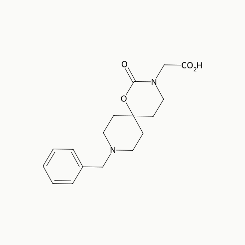 O=C(O)CN1CCC2(CCN(Cc3ccccc3)CC2)OC1=O